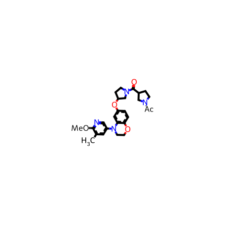 COc1ncc(N2CCOc3ccc(OC4CCN(C(=O)C5CCN(C(C)=O)C5)C4)cc32)cc1C